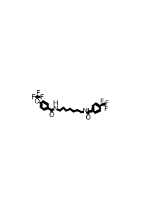 O=C(NCCCCCCCNC(=O)c1ccc(C(F)(F)F)cc1)c1ccc(OC(F)(F)F)cc1